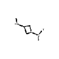 CNC1CN([S+](C)[O-])C1